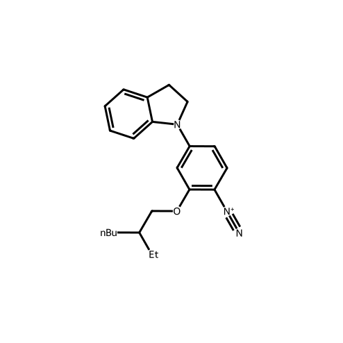 CCCCC(CC)COc1cc(N2CCc3ccccc32)ccc1[N+]#N